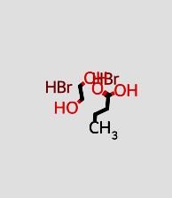 Br.Br.CCCC(=O)O.OCCO